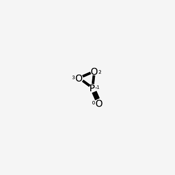 O=[P]1OO1